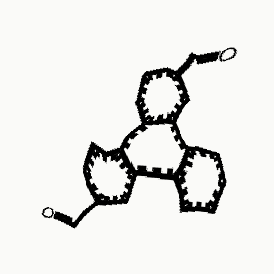 O=Cc1ccc2c3ccc(C=O)cc3c3ccccc3c2c1